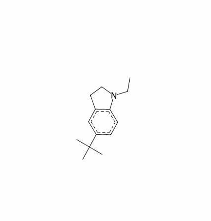 CCN1CCc2cc(C(C)(C)C)ccc21